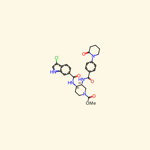 COC(=O)N1CC[C@@H](NC(=O)c2ccc3c(Cl)c[nH]c3c2)[C@@H](NC(=O)c2ccc(N3CCCCC3=O)cc2)C1